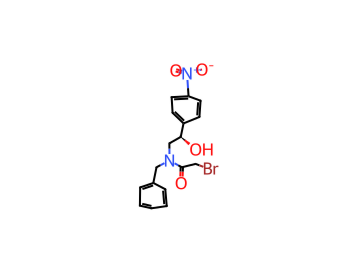 O=C(CBr)N(Cc1ccccc1)C[C@H](O)c1ccc([N+](=O)[O-])cc1